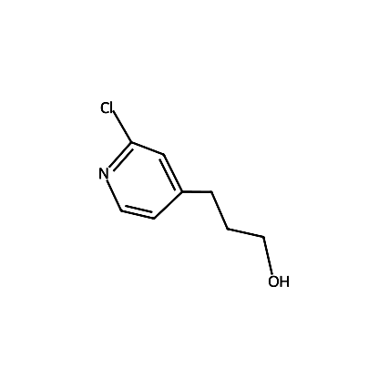 OCCCc1ccnc(Cl)c1